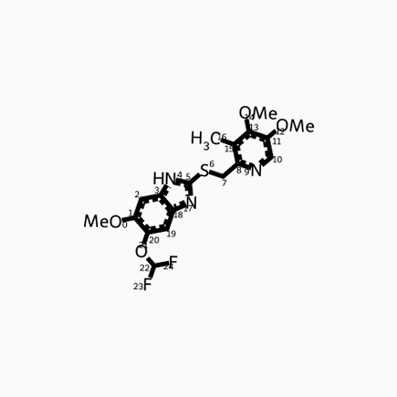 COc1cc2[nH]c(SCc3ncc(OC)c(OC)c3C)nc2cc1OC(F)F